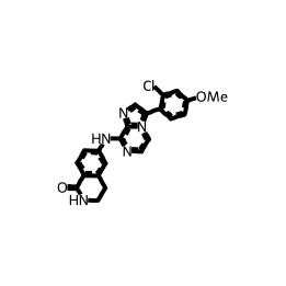 COc1ccc(-c2cnc3c(Nc4ccc5c(c4)CCNC5=O)nccn23)c(Cl)c1